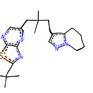 CC(C)(Cc1cnc2sc(C(C)(C)C)nc2n1)Cc1cnn2c1CCCC2